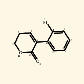 CCc1ccccc1C1=CCCOC1=O